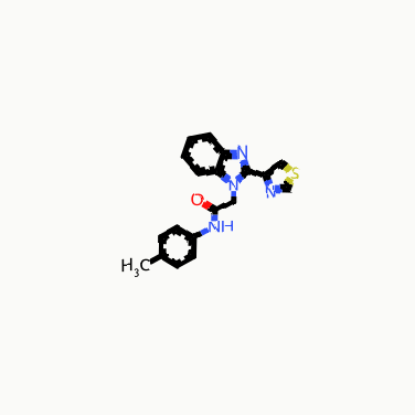 Cc1ccc(NC(=O)Cn2c(-c3cscn3)nc3ccccc32)cc1